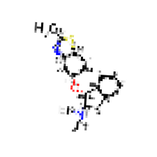 CCN(CC)[C@@H]1Cc2ccccc2[C@H]1Oc1ccc2sc(C)nc2c1